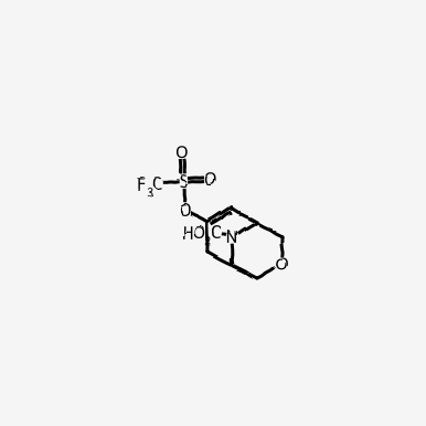 O=C(O)N1C2C=C(OS(=O)(=O)C(F)(F)F)CC1COC2